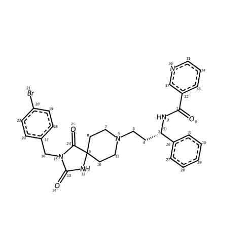 O=C(N[C@@H](CCN1CCC2(CC1)NC(=O)N(Cc1ccc(Br)cc1)C2=O)c1ccccc1)c1cccnc1